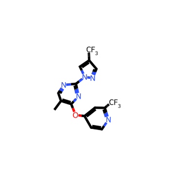 Cc1cnc(-n2cc(C(F)(F)F)cn2)nc1Oc1ccnc(C(F)(F)F)c1